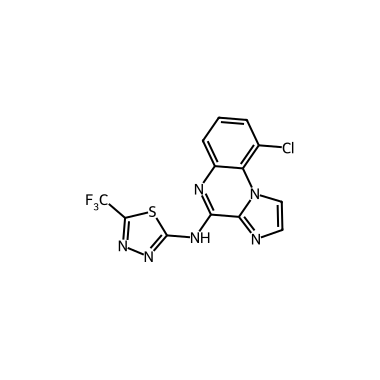 FC(F)(F)c1nnc(Nc2nc3cccc(Cl)c3n3ccnc23)s1